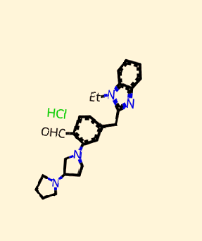 CCn1c(Cc2ccc(C=O)c(N3CCC(N4CCCC4)C3)c2)nc2ccccc21.Cl